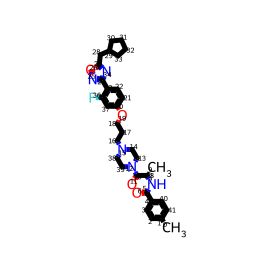 Cc1ccc(C(=O)N[C@H](C)C(=O)N2CCN(CCCOc3ccc(-c4noc(CC5CCCC5)n4)c(F)c3)CC2)cc1